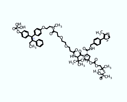 CC/C(=C(/c1ccc(OCCN(C)C(=O)CCOCCOCCC(=O)NC(C(=O)N2C[C@H](OC(=O)OCC(C)(C)SS(C)(=O)=O)C[C@H]2C(=O)NCc2ccc(-c3scnc3C)cc2)C(C)(C)C)cc1)c1ccc(OP(=O)(O)O)cc1)c1ccccc1